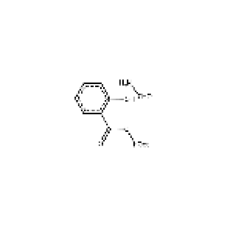 CCCCCCCCOC(=O)c1ccccc1O.NC=O